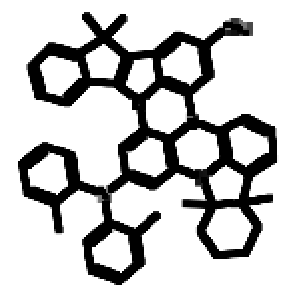 Cc1ccccc1N(c1cc2c3c(c1)-n1c4c(c5cc(C(C)(C)C)cc(c51)B3c1cccc3c1N2C1(C)CCCCC31C)C(C)(C)c1ccccc1-4)c1ccccc1C